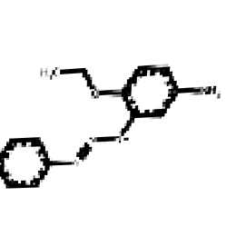 CCOc1ccc(N)cc1NN=Nc1ccccc1